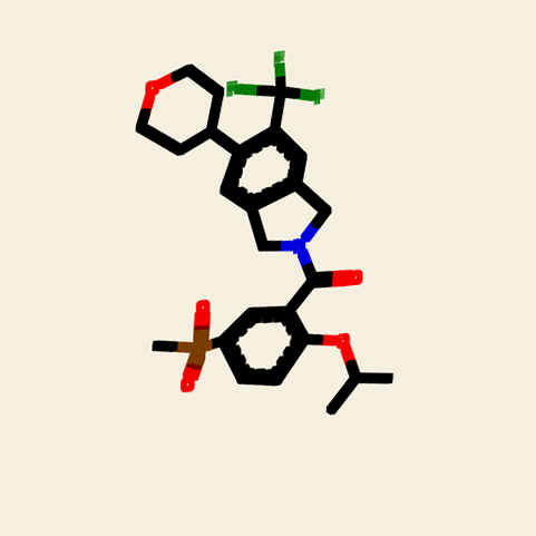 CC(C)Oc1ccc(S(C)(=O)=O)cc1C(=O)N1Cc2cc(C3CCOCC3)c(C(F)(F)F)cc2C1